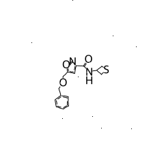 O=C(NC1CSC1)c1cc(COCc2ccccc2)on1